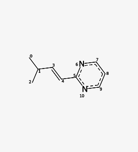 CC(C)/C=C/c1ncccn1